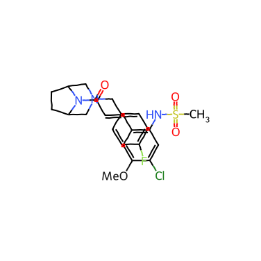 COc1cc(C=CC(=O)N2C3CCC2CN(Cc2ccc(F)cc2)C3)c(NS(C)(=O)=O)cc1Cl